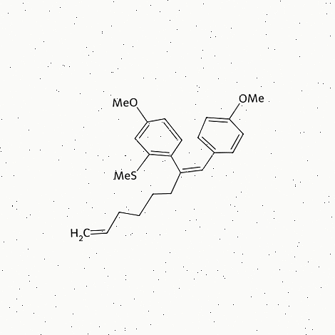 C=CCCCCC(=Cc1ccc(OC)cc1)c1ccc(OC)cc1SC